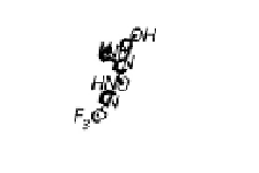 O=C(Nc1ccc(SC(F)(F)F)nc1)c1cnc(N2CCC(O)C2)c(-c2ccn[nH]2)c1